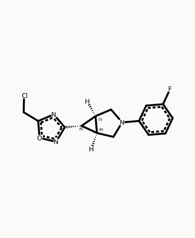 Fc1cccc(N2C[C@@H]3[C@H](C2)[C@H]3c2noc(CCl)n2)c1